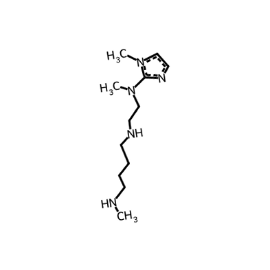 CNCCCCNCCN(C)c1nccn1C